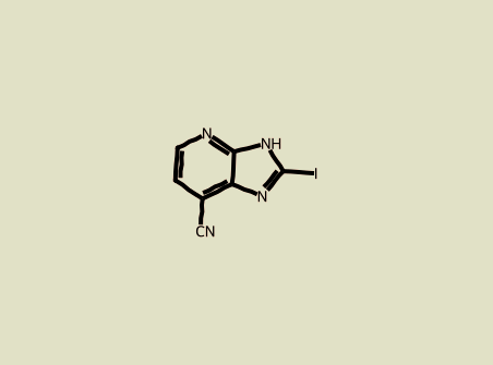 N#Cc1ccnc2[nH]c(I)nc12